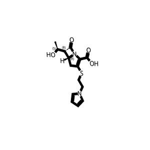 C[C@H](O)[C@@H]1C(=O)N2C(C(=O)O)=C(SCCn3cccc3)C[C@H]12